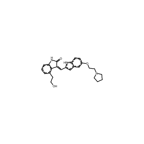 O=C1Nc2cccc(CCO)c2C1=Cc1cc2cc(OCCN3CCCC3)ccc2[nH]1